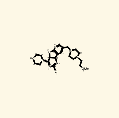 COCCN1CCN(Cc2cnc3c(c2)C2N=C(Cl)N=C(N4CCOCC4)C2O3)CC1